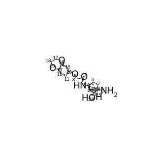 NC12CCC(NC(=O)COc3ccc4c(c3)OCCO4)(CC1)C[C@@H]2O